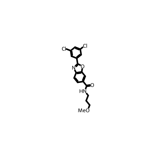 COCCCNC(=O)c1ccc2nc(-c3cc(Cl)cc(Cl)c3)oc2c1